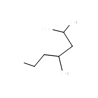 CC(C)CC(C)CC[O]